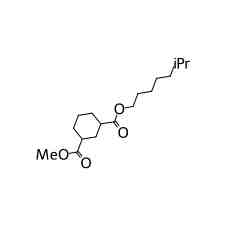 COC(=O)C1CCCC(C(=O)OCCCCCC(C)C)C1